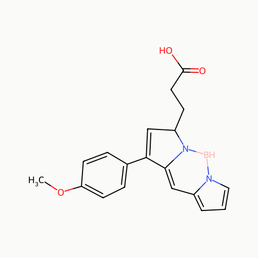 COc1ccc(C2=CC(CCC(=O)O)N3Bn4cccc4C=C23)cc1